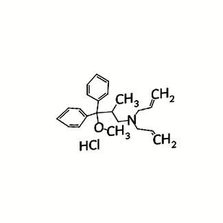 C=CCN(CC=C)CC(C)C(OC)(c1ccccc1)c1ccccc1.Cl